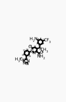 C[C@H](c1cc(N)cc(C(F)(F)F)c1)c1cc(=O)n(-c2cccc(-c3nnnn3C)c2)nc1C(N)=O